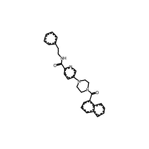 O=C(NCCc1ccccc1)c1ccc(N2CCN(C(=O)c3cccc4ccccc34)CC2)cn1